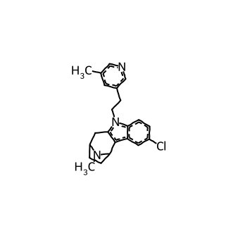 Cc1cncc(CCn2c3c(c4cc(Cl)ccc42)C2CCC(C3)N2C)c1